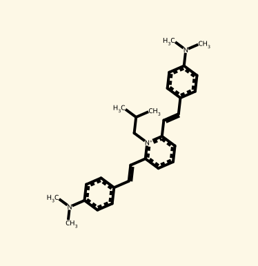 CC(C)C[n+]1c(/C=C/c2ccc(N(C)C)cc2)cccc1/C=C/c1ccc(N(C)C)cc1